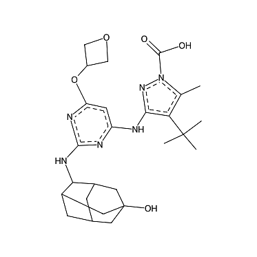 Cc1c(C(C)(C)C)c(Nc2cc(OC3COC3)nc(NC3C4CC5CC3CC(O)(C5)C4)n2)nn1C(=O)O